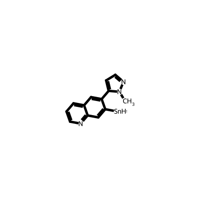 Cn1nccc1-c1cc2cccnc2c[c]1[SnH]